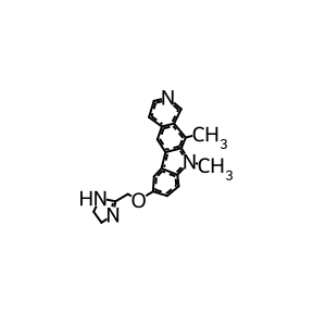 Cc1c2cnccc2cc2c3cc(OCC4=NCCN4)ccc3n(C)c12